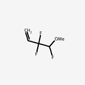 C=CC(F)(F)C(F)OC